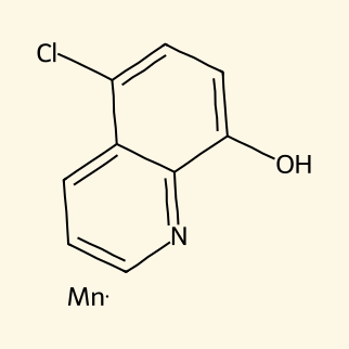 Oc1ccc(Cl)c2cccnc12.[Mn]